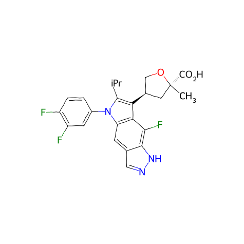 CC(C)c1c([C@H]2CO[C@](C)(C(=O)O)C2)c2c(F)c3[nH]ncc3cc2n1-c1ccc(F)c(F)c1